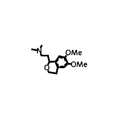 COc1cc2c(cc1OC)C(CCN(C)C)OCC2